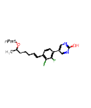 CCCCCOC(C)CCCC=Cc1ccc(-c2cnc(O)nc2)c(F)c1F